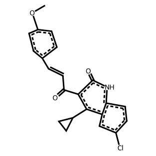 COc1ccc(C=CC(=O)c2c(C3CC3)c3cc(Cl)ccc3[nH]c2=O)cc1